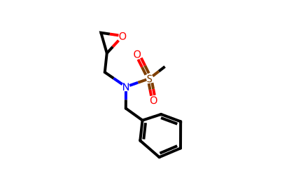 CS(=O)(=O)N(Cc1ccccc1)CC1CO1